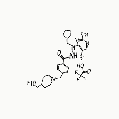 N#Cc1ncc(Br)c(N(CC2CCCC2)NC(=O)c2ccc(CN3CCC(CO)CC3)cc2)n1.O=C(O)C(F)(F)F